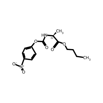 CCCCOC(=O)[C@H](C)NC(=O)Oc1ccc([N+](=O)[O-])cc1